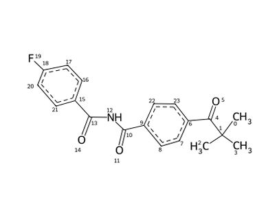 CC(C)(C)C(=O)c1ccc(C(=O)NC(=O)c2ccc(F)cc2)cc1